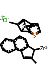 CC1=C2c3ccsc3C1[Si]2(C)C.CC1=Cc2c(ccc3ccccc23)[CH]1[Zr+2].[Cl-].[Cl-]